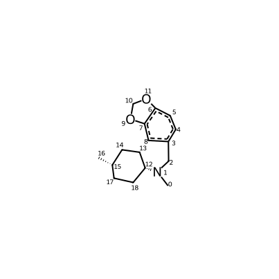 CN(Cc1ccc2c(c1)OCO2)[C@H]1CC[C@@H](C)CC1